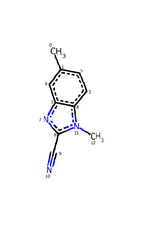 Cc1ccc2c(c1)nc(C#N)n2C